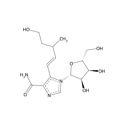 CC(/C=C/c1c(C(N)=O)ncn1[C@@H]1O[C@H](CO)[C@@H](O)[C@H]1O)CCO